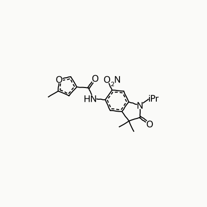 Cc1cc(C(=O)Nc2cc3c(cc2[N+](=O)[O-])N(C(C)C)C(=O)C3(C)C)co1